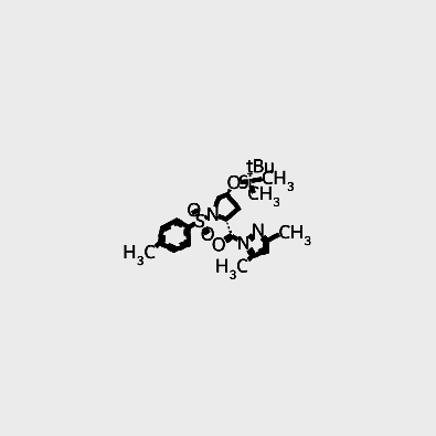 Cc1ccc(S(=O)(=O)N2C[C@@H](O[Si](C)(C)C(C)(C)C)C[C@@H]2C(=O)n2nc(C)cc2C)cc1